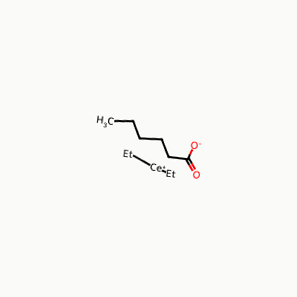 CCCCCC(=O)[O-].C[CH2][Ce+][CH2]C